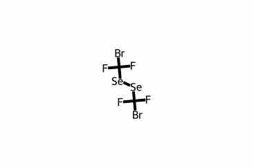 FC(F)(Br)[Se][Se]C(F)(F)Br